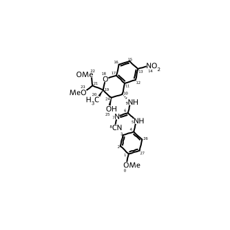 COc1ccc(NC(=NC#N)N[C@H]2c3cc([N+](=O)[O-])ccc3O[C@@](C)(C(OC)OC)[C@@H]2O)cc1